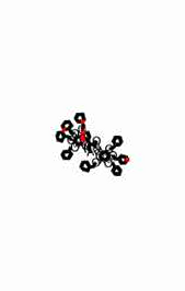 CC(=O)N(C[C@@H]1O[C@H](COCc2ccccc2)[C@@H](OCc2ccccc2)[C@H](OCc2ccccc2)[C@H]1OCc1ccccc1)C(C(=O)NC[C@@H]1O[C@H](COCc2ccccc2)[C@@H](OCc2ccccc2)[C@H](OCc2ccccc2)[C@H]1OCc1ccccc1)c1ccccc1